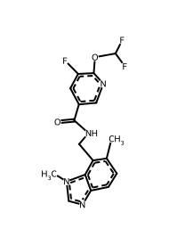 Cc1ccc2ncn(C)c2c1CNC(=O)c1cnc(OC(F)F)c(F)c1